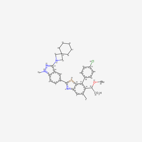 Cc1cc2nc(-c3ccc4c(c3)c(N3CC5(CCCCC5)C3)nn4C)sc2c(-c2ccc(Cl)cc2)c1C(OC(C)(C)C)C(=O)O